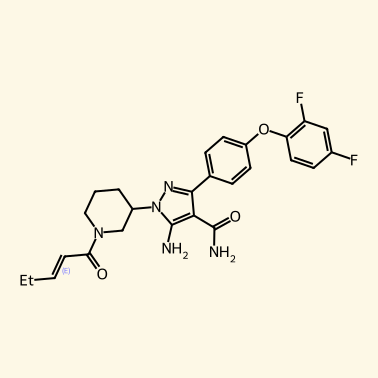 CC/C=C/C(=O)N1CCCC(n2nc(-c3ccc(Oc4ccc(F)cc4F)cc3)c(C(N)=O)c2N)C1